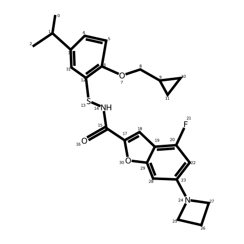 CC(C)c1ccc(OCC2CC2)c(SNC(=O)c2cc3c(F)cc(N4CCC4)cc3o2)c1